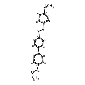 C=Cc1ccc(CCc2ccc(-c3ccc(COC)cc3)cc2)cc1